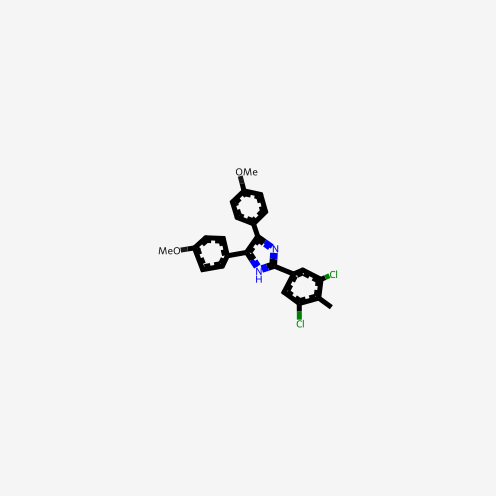 COc1ccc(-c2nc(-c3cc(Cl)c(C)c(Cl)c3)[nH]c2-c2ccc(OC)cc2)cc1